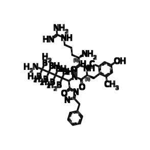 BC(B)(N)C(B)(B)C(B)(B)C(B)(B)C(NC(=O)[C@H](Cc1c(C)cc(O)cc1C)NC(=O)[C@H](N)CCCNC(=N)N)c1nc(Cc2ccccc2)no1